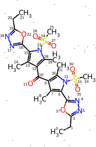 CCc1nnc(-c2c(C)c(C(=O)c3c(C)c(-c4nnc(CC)o4)n(S(C)(=O)=O)c3C)c(C)n2S(C)(=O)=O)o1